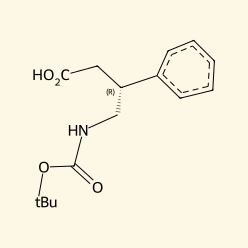 CC(C)(C)OC(=O)NC[C@H](CC(=O)O)c1ccccc1